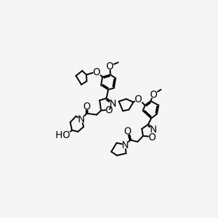 COc1ccc(C2=NOC(CC(=O)N3CCC(O)CC3)C2)cc1OC1CCCC1.COc1ccc(C2=NOC(CC(=O)N3CCCC3)C2)cc1OC1CCCC1